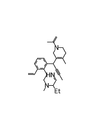 C=Cc1cccc(C(C#CC)C2=C(C)CCN(C(=C)C)C2)c1CCN(C)C(C=N)CC